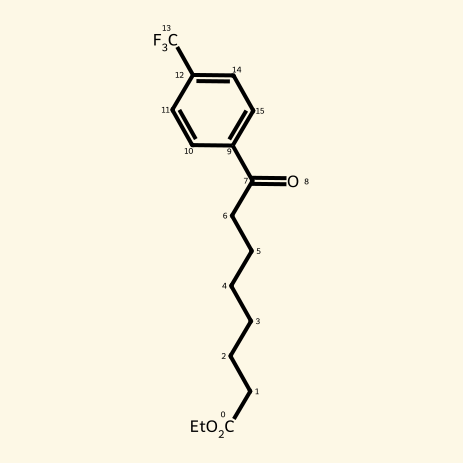 CCOC(=O)CCCCCCC(=O)c1ccc(C(F)(F)F)cc1